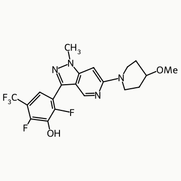 COC1CCN(c2cc3c(cn2)c(-c2cc(C(F)(F)F)c(F)c(O)c2F)nn3C)CC1